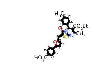 CCOC(=O)C1=C(C)N=c2s/c(=C\c3ccc(-c4ccc(C(=O)O)cc4)o3)c(=O)n2C1c1ccc(C)cc1